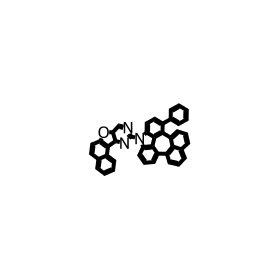 C1=NC(n2c3cccc4c3c3c(c(-c5ccccc5)ccc32)-c2cccc3cccc-4c23)=NC2c3c(ccc4ccccc34)OC12